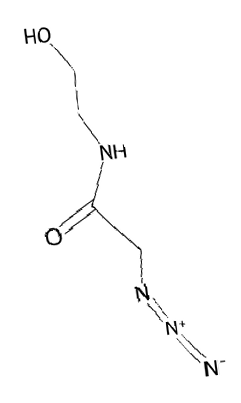 [N-]=[N+]=NCC(=O)NCCO